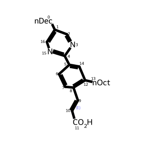 CCCCCCCCCCc1cnc(-c2ccc(/C=C/C(=O)O)c(CCCCCCCC)c2)nc1